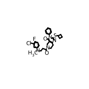 CN(CCC(=O)N1CCc2nc(SC3CCC3)n(-c3ccccc3)c(=O)c2C1)c1ccc(F)c(Cl)c1